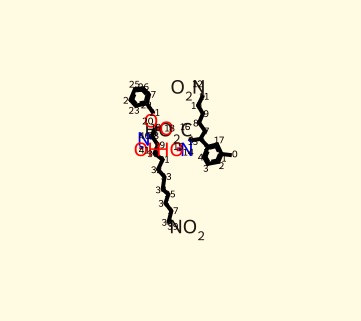 Cc1cccc(C(CCCCC[N+](=O)[O-])C(=NO)C(=O)O)c1.O=C(OCc1ccccc1)C(CCCCCCCCCC[N+](=O)[O-])=NO